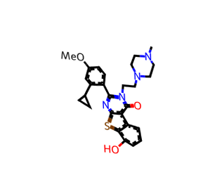 COc1ccc(-c2nc3sc4c(O)cccc4c3c(=O)n2CCN2CCN(C)CC2)c(C2CC2)c1